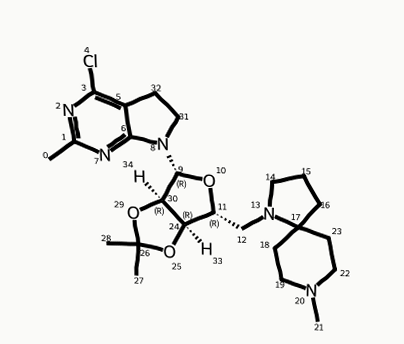 Cc1nc(Cl)c2c(n1)N([C@@H]1O[C@H](CN3CCCC34CCN(C)CC4)[C@H]3OC(C)(C)O[C@H]31)CC2